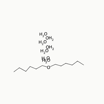 CCCCCCOCCCCCC.O.O.O.O.O.O.O